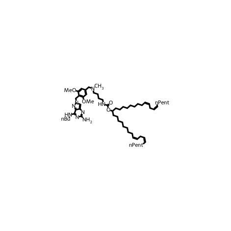 CCCCC/C=C\C/C=C\CCCCCCCCC(CCCCCCCC/C=C\C/C=C\CCCCC)OC(=O)NCCCCN(C)Cc1cc(OC)c(Cn2cc3nc(N)nc(NCCCC)c3n2)c(OC)c1